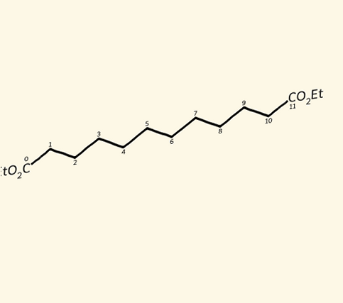 CCOC(=O)CCCCCCCCCCC(=O)OCC